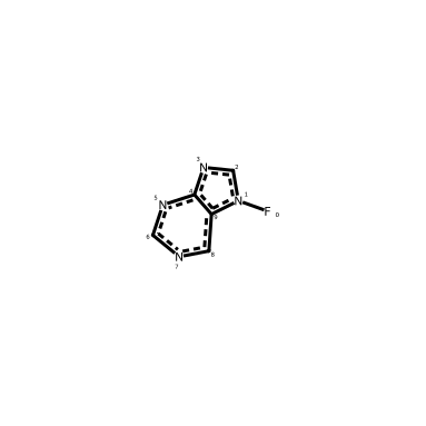 Fn1cnc2ncncc21